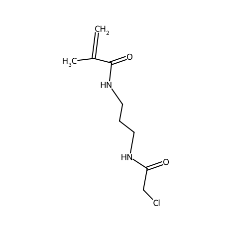 C=C(C)C(=O)NCCCNC(=O)CCl